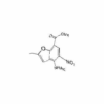 COC(=O)c1cc([N+](=O)[O-])c(NC(C)=O)c2cc(C)oc12